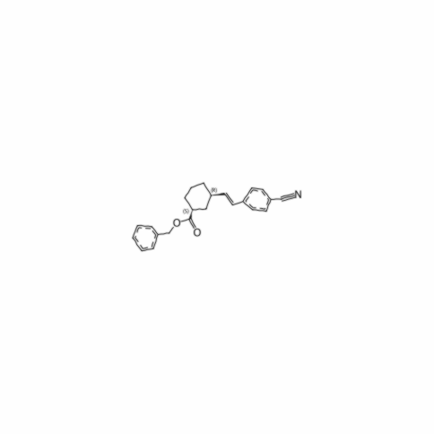 N#Cc1ccc(C=C[C@@H]2CCC[C@H](C(=O)OCc3ccccc3)C2)cc1